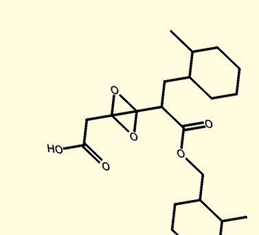 CC1CCCCC1COC(=O)C(CC1CCCCC1C)C12OC1(CC(=O)O)O2